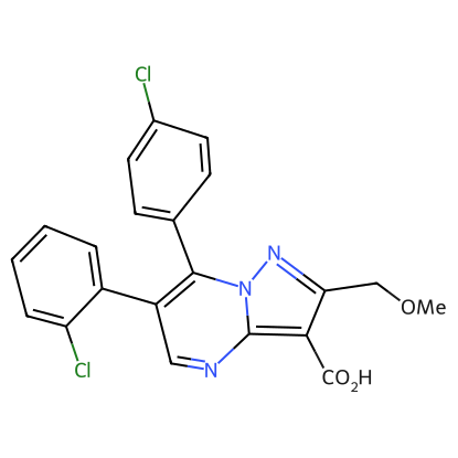 COCc1nn2c(-c3ccc(Cl)cc3)c(-c3ccccc3Cl)cnc2c1C(=O)O